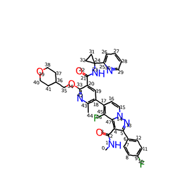 CNC(=O)c1c(-c2ccc(F)cc2)nn2ccc(-c3cc(C(=O)NC4(c5ccccn5)CC4)c(OCC4CCOCC4)nc3C)c(F)c12